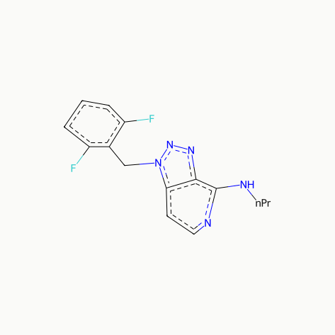 CCCNc1nccc2c1nnn2Cc1c(F)cccc1F